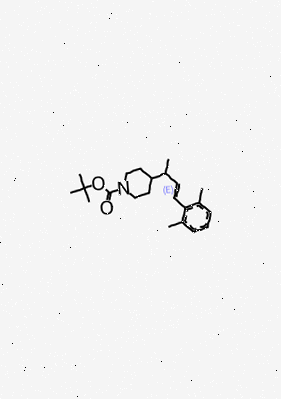 Cc1cccc(C)c1/C=C/C(C)C1CCN(C(=O)OC(C)(C)C)CC1